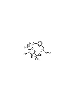 CCNC(=O)[C@@H](NC(=O)[C@H](C)NC[C@H](Cc1ncc(C)o1)NC)C(C)C